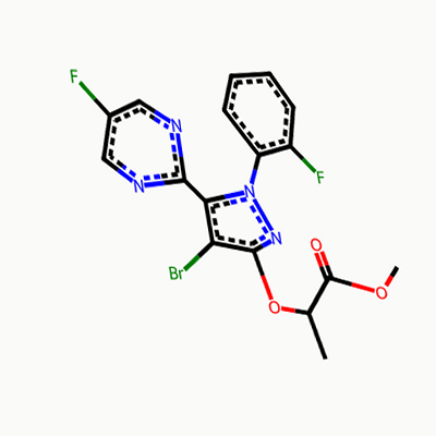 COC(=O)C(C)Oc1nn(-c2ccccc2F)c(-c2ncc(F)cn2)c1Br